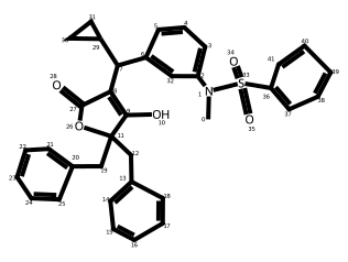 CN(c1cccc(C(C2=C(O)C(Cc3ccccc3)(Cc3ccccc3)OC2=O)C2CC2)c1)S(=O)(=O)c1ccccc1